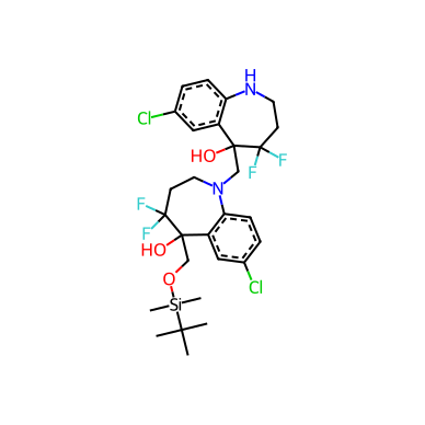 CC(C)(C)[Si](C)(C)OCC1(O)c2cc(Cl)ccc2N(CC2(O)c3cc(Cl)ccc3NCCC2(F)F)CCC1(F)F